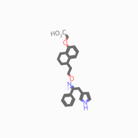 O=C(O)COc1cccc2c1CCCC2CCO/N=C(\Cc1cc[nH]c1)c1ccccc1